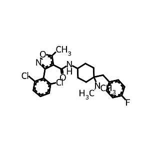 Cc1onc(-c2c(Cl)cccc2Cl)c1C(=O)NC1CCC(Cc2ccc(F)cc2)(N(C)C)CC1